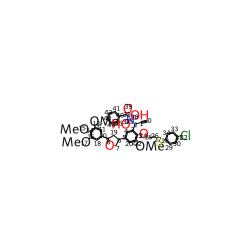 C#CC(c1cc(C2COC(c3cc(OC)c(OC)c(OC)c3)C2)cc(OC)c1OCCSc1ccc(Cl)cc1)[N+](O)(O)C(=O)c1ccccc1